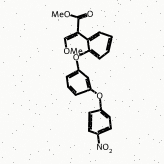 CO/C=C(/C(=O)OC)c1ccccc1Oc1cccc(Oc2ccc([N+](=O)[O-])cc2)c1